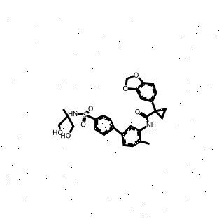 Cc1ccc(-c2ccc(S(=O)(=O)NC(C)(CO)CO)cc2)cc1NC(=O)C1(c2ccc3c(c2)OCO3)CC1